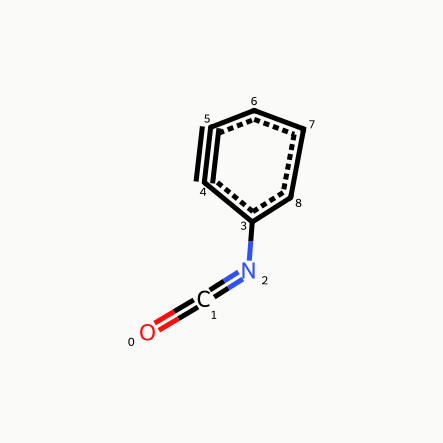 O=C=Nc1c#cccc1